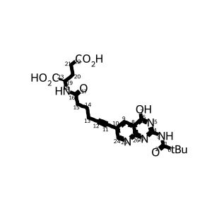 CC(C)(C)C(=O)Nc1nc(O)c2cc(C#CCCCC(=O)N[C@H](CCC(=O)O)C(=O)O)cnc2n1